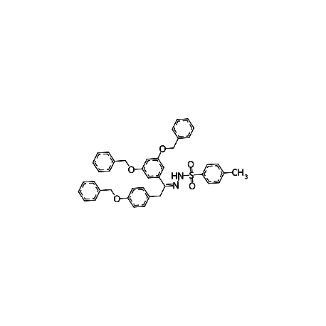 Cc1ccc(S(=O)(=O)N/N=C(/Cc2ccc(OCc3ccccc3)cc2)c2cc(OCc3ccccc3)cc(OCc3ccccc3)c2)cc1